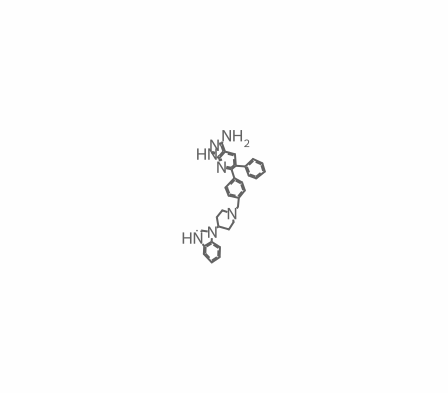 Nc1n[nH]c2nc(-c3ccc(CN4CCC(N5[CH]Nc6ccccc65)CC4)cc3)c(-c3ccccc3)cc12